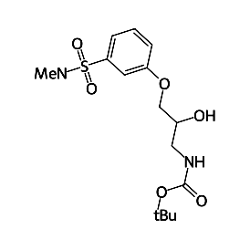 CNS(=O)(=O)c1cccc(OCC(O)CNC(=O)OC(C)(C)C)c1